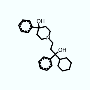 OC1(c2ccccc2)CCN(CCC(O)(c2ccccc2)C2CCCCC2)CC1